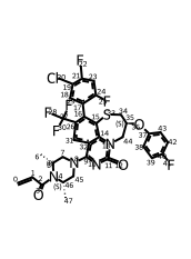 C=CC(=O)N1[C@H](C)CN(c2nc(=O)n3c4c(c(-c5cc(Cl)c(F)cc5F)c(C(F)(F)F)cc24)SC[C@@H](Oc2ccc(F)cc2)C3)C[C@@H]1C